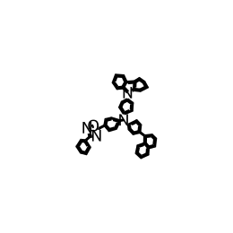 c1ccc(-c2noc(-c3ccc(N(c4ccc(-c5cccc6ccccc56)cc4)c4ccc(-n5c6ccccc6c6ccccc65)cc4)cc3)n2)cc1